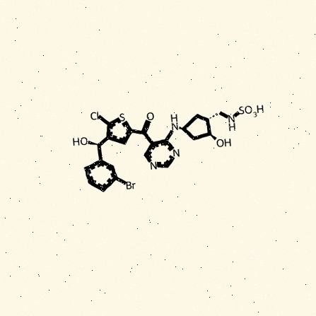 O=C(c1cc([C@H](O)c2cccc(Br)c2)c(Cl)s1)c1cncnc1N[C@@H]1C[C@H](CNS(=O)(=O)O)[C@@H](O)C1